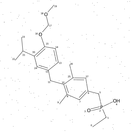 CCP(=O)(O)Cc1cc(C)c(Cc2ccc(OCOC)c(C(C)C)c2)c(C)c1